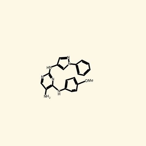 COc1ccc(Nc2nc(Nc3cnn(-c4ccccc4)c3)ncc2N)cc1